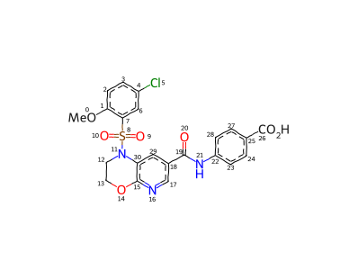 COc1ccc(Cl)cc1S(=O)(=O)N1CCOc2ncc(C(=O)Nc3ccc(C(=O)O)cc3)cc21